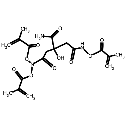 C=C(C)C(=O)ONC(=O)CC(O)(CC(=O)N(OC(=O)C(=C)C)OC(=O)C(=C)C)C(N)=O